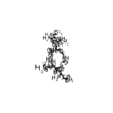 C=C1N[C@@H](CO)C(=O)NC(C(=O)N[C@H](C(=O)NC(C(N)=O)[C@@H](C)CC)C(C)C)CCCCNC(=O)CCC(NC(=O)[C@@H](N)CCC(=O)O)C(=O)N[C@H]1CCSC